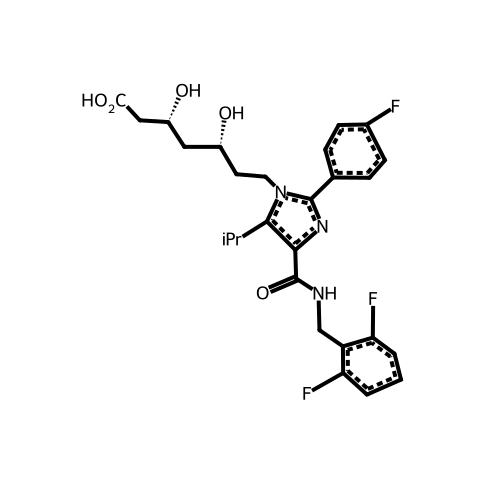 CC(C)c1c(C(=O)NCc2c(F)cccc2F)nc(-c2ccc(F)cc2)n1CC[C@@H](O)C[C@@H](O)CC(=O)O